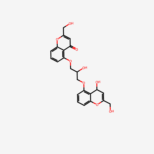 O=c1cc(CO)oc2cccc(OCC(O)COc3cccc4c3C(O)C=C(CO)O4)c12